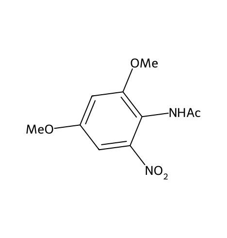 COc1cc(OC)c(NC(C)=O)c([N+](=O)[O-])c1